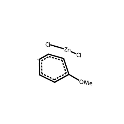 COc1cc[c]cc1.[Cl][Zn][Cl]